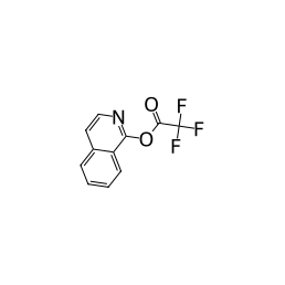 O=C(Oc1nccc2ccccc12)C(F)(F)F